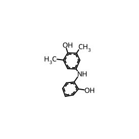 Cc1cc(Nc2ccccc2O)cc(C)c1O